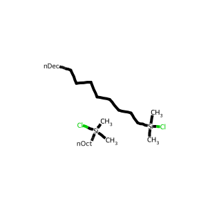 CCCCCCCCCCCCCCCCCC[Si](C)(C)Cl.CCCCCCCC[Si](C)(C)Cl